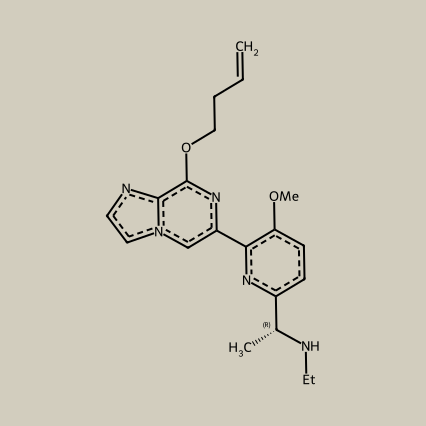 C=CCCOc1nc(-c2nc([C@@H](C)NCC)ccc2OC)cn2ccnc12